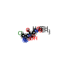 CC(C)(C)OC(=O)Cn1ccc2cc(C3C(CC=O)c4cc(-c5cc(Cl)ccc5-n5cnnn5)cc(=O)n4[C@@H]3C(=O)O)ccc21